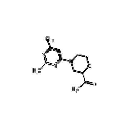 CC(=O)C1CN(c2cc(C)nc(C)n2)CCO1